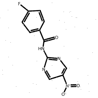 O=C(Nc1ncc([N+](=O)[O-])cn1)c1ccc(F)cc1